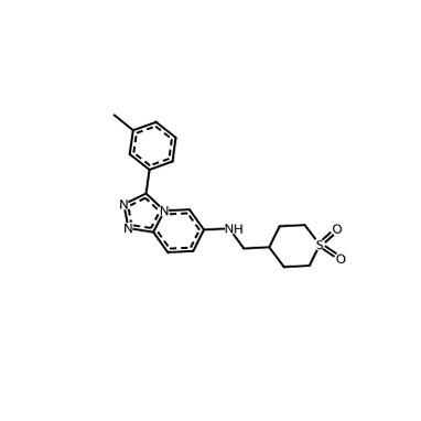 Cc1cccc(-c2nnc3ccc(NCC4CCS(=O)(=O)CC4)cn23)c1